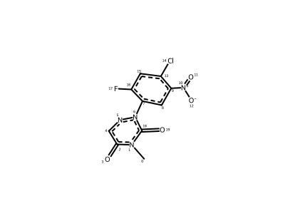 Cn1c(=O)cnn(-c2cc([N+](=O)[O-])c(Cl)cc2F)c1=O